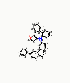 c1ccc(-c2ccc3ccc4ccc(N5c6ccccc6-c6ccccc6-c6occc65)cc4c3c2)cc1